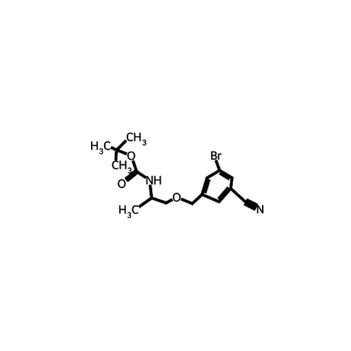 CC(COCc1cc(Br)cc(C#N)c1)NC(=O)OC(C)(C)C